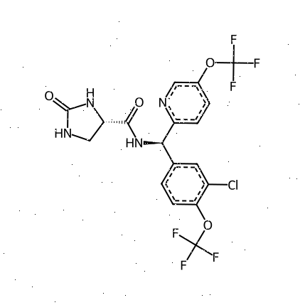 O=C1NC[C@@H](C(=O)N[C@H](c2ccc(OC(F)(F)F)c(Cl)c2)c2ccc(OC(F)(F)F)cn2)N1